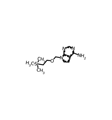 C[Si](C)(C)CCOCn1ccc2c(N)ncnc21